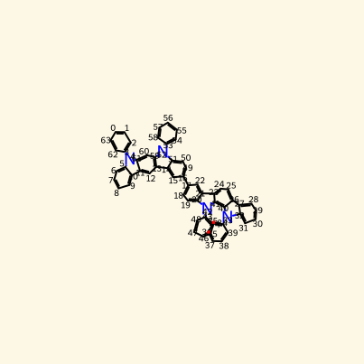 c1ccc(-n2c3ccccc3c3cc4c5cc(-c6ccc7c(c6)c6ccc8c9ccccc9n(-c9ccccc9)c8c6n7-c6ccccc6)ccc5n(-c5ccccc5)c4cc32)cc1